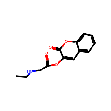 CCNCC(=O)Oc1cc2ccccc2oc1=O